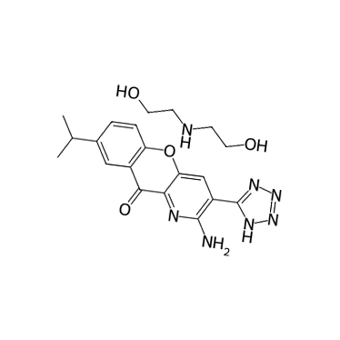 CC(C)c1ccc2oc3cc(-c4nnn[nH]4)c(N)nc3c(=O)c2c1.OCCNCCO